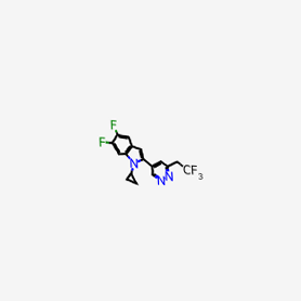 Fc1cc2cc(-c3cnnc(CC(F)(F)F)c3)n(C3CC3)c2cc1F